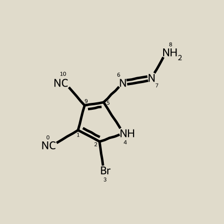 N#Cc1c(Br)[nH]c(N=NN)c1C#N